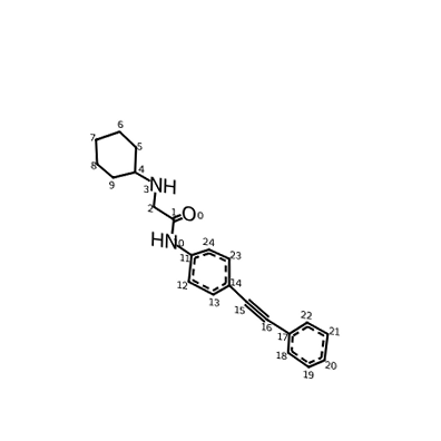 O=C(CNC1CCCCC1)Nc1ccc(C#Cc2ccccc2)cc1